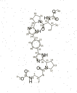 COC(=O)NCC(C)CC(=O)N1CCCC1c1ncc(-c2ccc(-c3cnc(C4CCCN4C(=O)C(NC(=O)OC)C(C)C)[nH]3)cc2)[nH]1